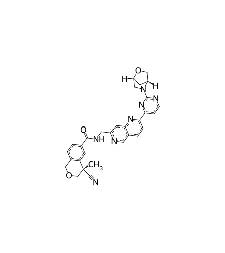 C[C@@]1(C#N)COCc2ccc(C(=O)NCc3cc4nc(-c5ccnc(N6C[C@H]7C[C@@H]6CO7)n5)ccc4cn3)cc21